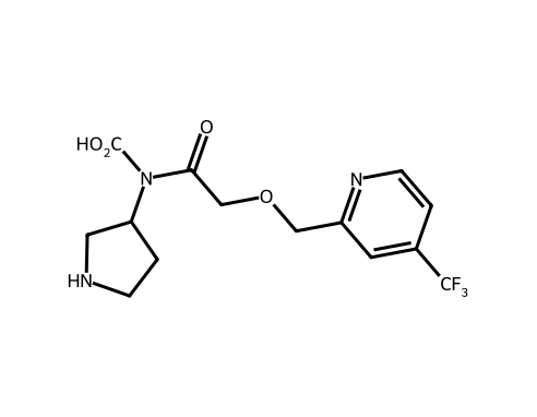 O=C(O)N(C(=O)COCc1cc(C(F)(F)F)ccn1)C1CCNC1